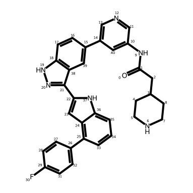 O=C(CC1CCNCC1)Nc1cncc(-c2ccc3[nH]nc(-c4cc5c(-c6ccc(F)cc6)cccc5[nH]4)c3c2)c1